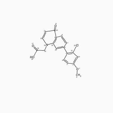 COc1ccc(-c2ccc3c(=O)ccn(CC(=O)O)c3c2)c(Cl)c1